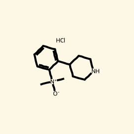 C[N+](C)([O-])c1ccccc1C1CCNCC1.Cl